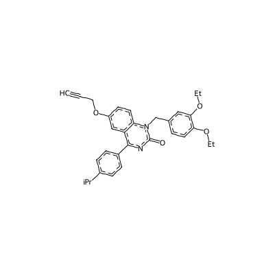 C#CCOc1ccc2c(c1)c(-c1ccc(C(C)C)cc1)nc(=O)n2Cc1ccc(OCC)c(OCC)c1